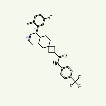 C=c1ccc(F)c/c1=C(/C=C\C)C1CCC2(CC1)CC(C(=O)Nc1ccc(C(F)(F)F)cc1)C2